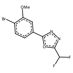 COc1cc(-c2nnc(C(F)F)o2)ccc1Br